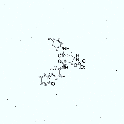 CCS(=O)(=O)NC1C[C@H](C(=O)Nc2ccc(C)cc2)[C@@H](C(=O)Nc2ccc(-n3ccccc3=O)cc2F)C1